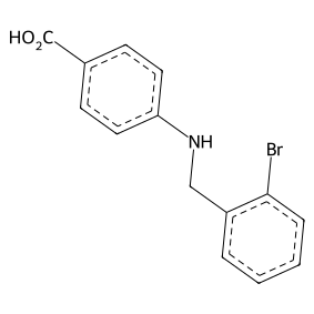 O=C(O)c1ccc(NCc2ccccc2Br)cc1